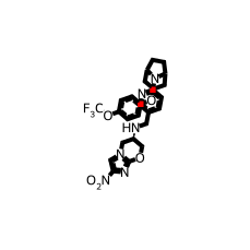 O=[N+]([O-])c1cn2c(n1)OC[C@@H](NCc1ccc(N3C4CCC3CC(Oc3ccc(OC(F)(F)F)cc3)C4)nc1)C2